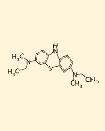 CCN(C)c1ccc2c(c1)Sc1cc(N(C)CC)ccc1N2